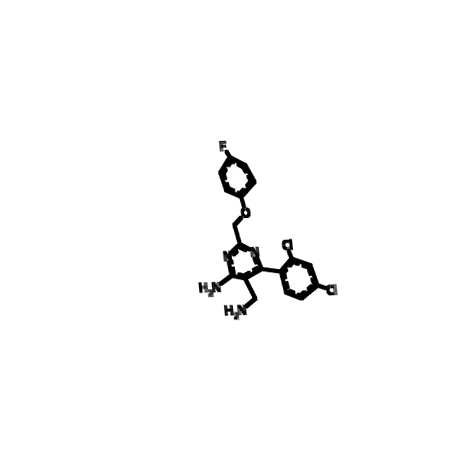 NCc1c(N)nc(COc2ccc(F)cc2)nc1-c1ccc(Cl)cc1Cl